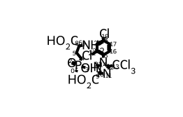 CP(=O)(O)CCC(N)C(=O)O.O=C(O)c1nc(C(Cl)(Cl)Cl)n(-c2ccc(Cl)cc2Cl)n1